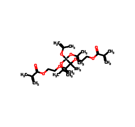 C=C(C)O[Si](OC(=C)C)(OC(=C)C)C([SiH3])(OCCOC(=O)C(=C)C)C(C)OCCOC(=O)C(=C)C